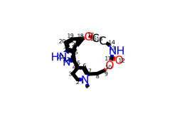 CN1CCC2(C)C=C1CCOC(=O)NCCCOc1ccc3[nH]nc2c3c1